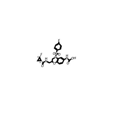 O=C(O)Nc1ccc2c(c1)N(S(=O)(=O)c1ccc(F)cc1)CC(CNC(=O)[C@@H]1C[C@@H]1F)O2